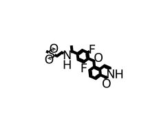 CC(NCCS(C)(=O)=O)c1cc(F)c(C(=O)c2cccc3c(=O)[nH]ccc23)c(F)c1